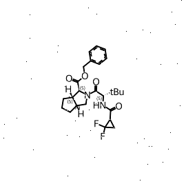 CC(C)(C)[C@H](NC(=O)C1CC1(F)F)C(=O)N1C[C@@H]2CCC[C@@H]2[C@H]1C(=O)OCc1ccccc1